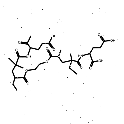 CCC(CC(C)(C)C(=O)NC(CCC(=O)O)C(C)=O)C(=O)OCCOC(=O)C(C)CC(C)(CC)C(=O)NC(CCC(=O)O)C(=O)O